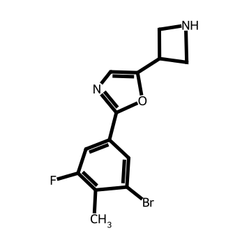 Cc1c(F)cc(-c2ncc(C3CNC3)o2)cc1Br